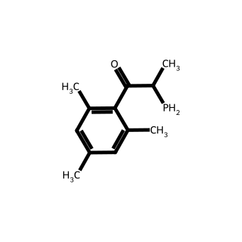 Cc1cc(C)c(C(=O)C(C)P)c(C)c1